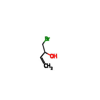 C=CC(O)CBr